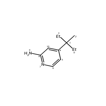 CCC(C)(CC)c1ccnc(N)c1